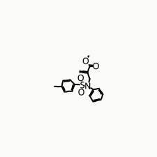 C=C(CN(c1ccccc1)S(=O)(=O)c1ccc(C)cc1)C(=O)OC